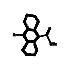 COC(=O)c1c2ccccc2c(Br)c2ccccc12